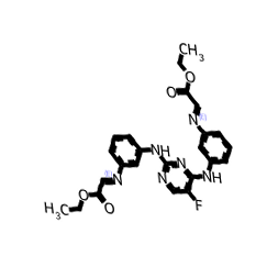 CCOC(=O)/C=N/c1cccc(Nc2ncc(F)c(Nc3cccc(/N=C/C(=O)OCC)c3)n2)c1